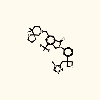 Cn1cnnc1CC1(c2cccc(N3Cc4c(cc(CN5CCC(F)(F)[C@]6(CCCO6)C5)cc4C(F)(F)F)C3=O)c2)COC1